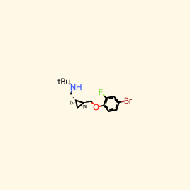 CC(C)(C)NC[C@H]1C[C@@H]1COc1ccc(Br)cc1F